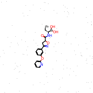 CC(C)C[C@H](NC(=O)C1CC(c2cccc(Oc3ccccn3)c2)=NO1)B(O)O